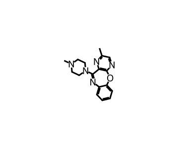 Cc1cnc2c(n1)C(N1CCN(C)CC1)=Nc1ccccc1O2